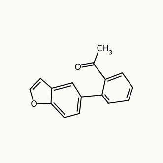 CC(=O)c1ccccc1-c1ccc2occc2c1